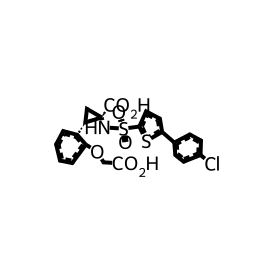 O=C(O)COc1ccccc1[C@@H]1C[C@]1(NS(=O)(=O)c1ccc(-c2ccc(Cl)cc2)s1)C(=O)O